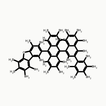 Bc1c(B)c(B)c(-c2c(B)c(-c3c4c(B)c(B)c(B)c(B)c4c(-c4c(B)c(B)c5oc6c(B)c(B)c(B)c(B)c6c5c4B)c4c(B)c(B)c(B)c(B)c34)c3c(B)c(B)c(B)c(B)c3c2B)c(B)c1B